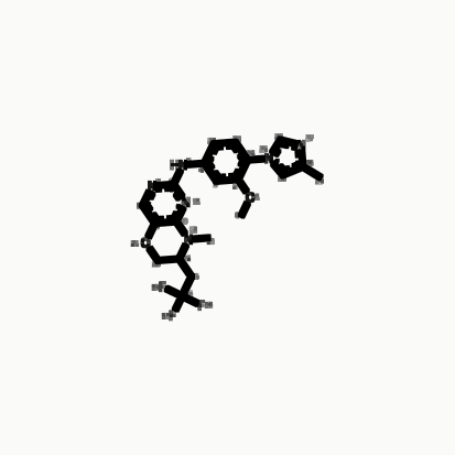 COc1cc(Nc2ncc3c(n2)N(C)C(CC(F)(F)F)CO3)ccc1-n1cnc(C)c1